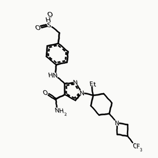 CCC1(n2cc(C(N)=O)c(Nc3ccc(C[SH](=O)=O)cc3)n2)CCC(N2CC(C(F)(F)F)C2)CC1